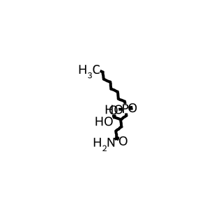 CCCCCCCCP(=O)(O)CC(CCC(N)=O)C(=O)O